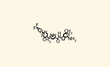 Cc1cc2c(c(N)n1)CC[C@H]2NC(=O)c1cn(Cc2cnc(N3CC4C(C3)C4(F)F)nc2C)nn1